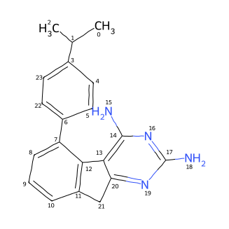 CC(C)c1ccc(-c2cccc3c2-c2c(N)nc(N)nc2C3)cc1